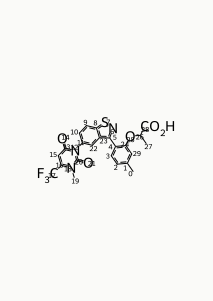 Cc1ccc(-c2nsc3ccc(-n4c(=O)cc(C(F)(F)F)n(C)c4=O)cc23)c(OC(C)C(=O)O)c1